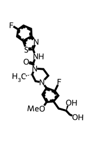 COc1cc(N2CCN(C(=O)Nc3nc4ccc(F)cc4s3)[C@@H](C)C2)c(F)cc1C[C@@H](O)CO